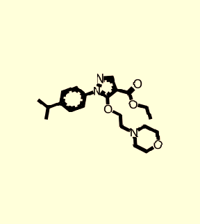 CCOC(=O)c1cnn(-c2ccc(C(C)C)cc2)c1OCCN1CCOCC1